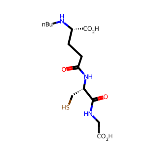 CCCCN[C@@H](CCC(=O)N[C@@H](CS)C(=O)NCC(=O)O)C(=O)O